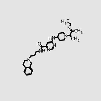 C=C(C(C)=NCC)N1CCC(Nc2cc(C(=O)NCCCN3CCc4ccccc4C3)ncn2)CC1